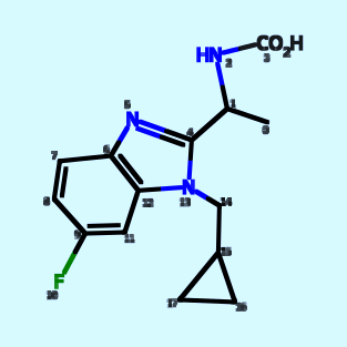 CC(NC(=O)O)c1nc2ccc(F)cc2n1CC1CC1